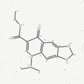 CCOC(=O)c1cn(N(C)C)c2cc3c(cc2c1=O)OCO3